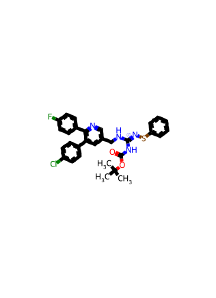 CC(C)(C)OC(=O)N/C(=N\Sc1ccccc1)NCc1cnc(-c2ccc(F)cc2)c(-c2ccc(Cl)cc2)c1